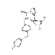 O=C(NCc1ccc(Oc2ccc(F)cc2)cc1)c1cncn1-c1ncc(C(F)(F)F)cc1Cl